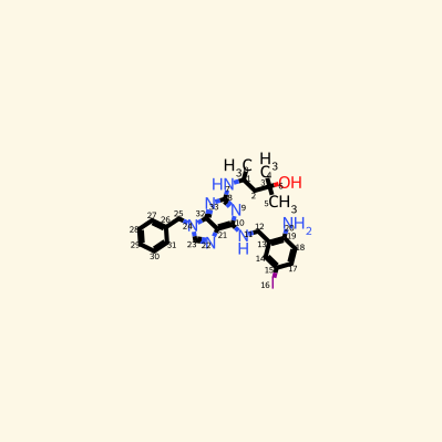 CC(CC(C)(C)O)Nc1nc(NCc2cc(I)ccc2N)c2ncn(Cc3ccccc3)c2n1